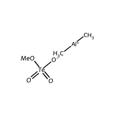 CO[Te](=O)(=O)[O-].[CH3][Al+][CH3]